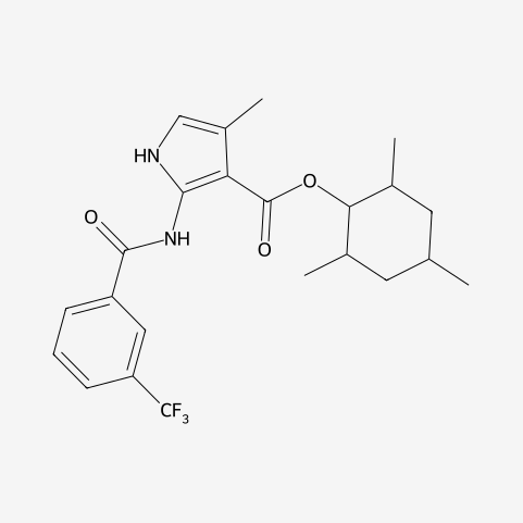 Cc1c[nH]c(NC(=O)c2cccc(C(F)(F)F)c2)c1C(=O)OC1C(C)CC(C)CC1C